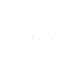 [N-]=[N+]=N[C@]1(CO)O[C@@H](n2ccc(=O)[nH]c2=O)C(F)(F)C1O